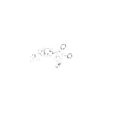 C[C@]12CC[C@H](O[C@H]3OC[C@H](N=[N+]=[N-])[C@@H](OC(=O)c4ccccc4)[C@@H]3OC(=O)c3ccccc3)C[C@H]1CC[C@@H]1[C@@H]2CC[C@]2(C)[C@@H](C3=CC(=O)OC3)CC[C@@H]12